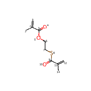 C=C(C)C(=O)OCCSC(=O)C(=C)C